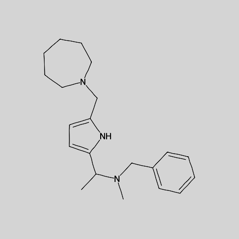 CC(c1ccc(CN2CCCCCC2)[nH]1)N(C)Cc1ccccc1